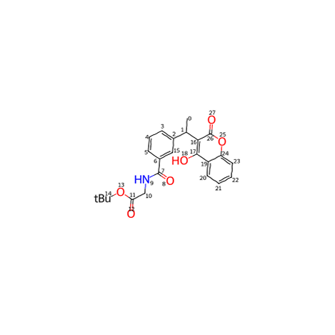 CC(c1cccc(C(=O)NCC(=O)OC(C)(C)C)c1)c1c(O)c2ccccc2oc1=O